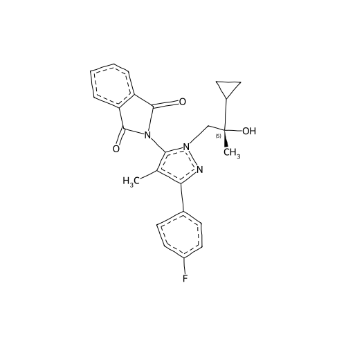 Cc1c(-c2ccc(F)cc2)nn(C[C@@](C)(O)C2CC2)c1N1C(=O)c2ccccc2C1=O